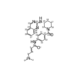 CN(C)C/C=C/C(=O)Nc1ccc(C(=O)N2CCC[C@@H](Nc3ncc4ccccc4n3)C2)cc1